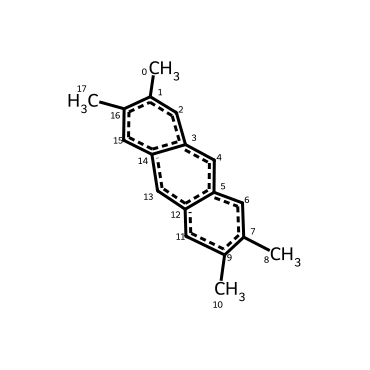 Cc1cc2cc3cc(C)c(C)cc3cc2cc1C